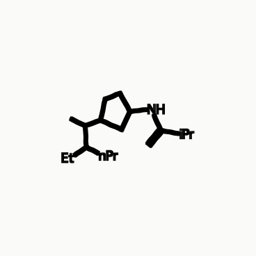 C=C(NC1CCC(C(C)C(CC)CCC)C1)C(C)C